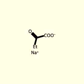 [13CH3]CC(=O)C(=O)[O-].[Na+]